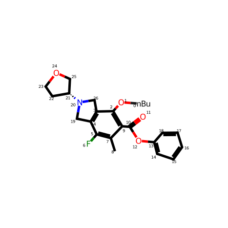 CCCCOc1c2c(c(F)c(C)c1C(=O)Oc1ccccc1)CN([C@@H]1CCOC1)C2